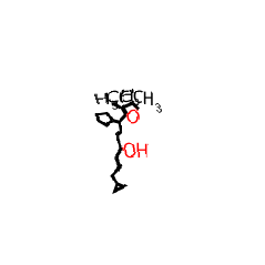 C=CC1C(C(CCC(O)CCCC2CC2)C2CCCC2)OCC1(C)C